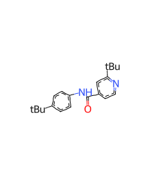 CC(C)(C)c1ccc(NC(=O)c2ccnc(C(C)(C)C)c2)cc1